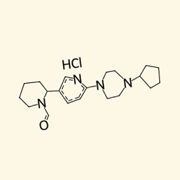 Cl.O=CN1CCCCC1c1ccc(N2CCN(C3CCCC3)CC2)nc1